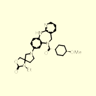 CCN1C(=O)OCC12CCN(c1ccc3c(c1)N(C(=O)[C@H]1CC[C@H](OC)CC1)Cc1cccnc1N3)C2